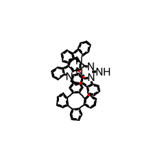 N=C(/N=C(\N=C\c1cc2c(cc1-n1c3ccccc3c3ccccc31)-c1ccccc1-c1ccccc1-c1ccccc1-2)n1c2ccccc2c2ccccc21)n1c2ccccc2c2ccccc21